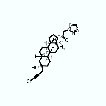 C[C@]12CC[C@H]3[C@@H](CC[C@H]4C[C@](O)(CC#CCl)CC[C@@H]43)[C@@H]1CC[C@@H]2C(=O)Cn1ncnn1